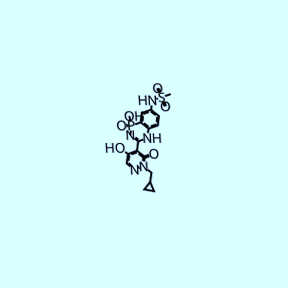 CS(=O)(=O)Nc1ccc2c(c1)P(=O)(O)N=C(c1c(O)cnn(CC3CC3)c1=O)N2